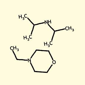 CC(C)NC(C)C.CCN1CCOCC1